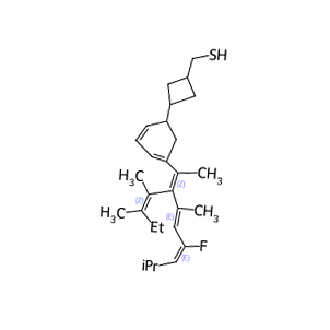 CC\C(C)=C(C)/C(=C(/C)C1=CC=CC(C2CC(CS)C2)C1)C(/C)=C/C(F)=C\C(C)C